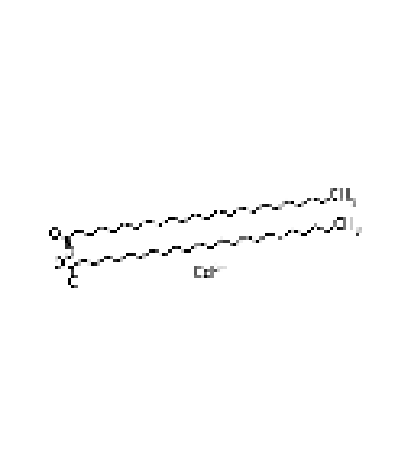 CCCCCCCCCCCCCCCCCCCCCCCC(=O)[O-].CCCCCCCCCCCCCCCCCCCCCCCC(=O)[O-].[Cd+2]